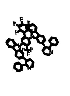 Fc1c(F)c(F)c(-c2cc(-n3c4ccccc4c4ccc(-c5cccnc5-c5ccccc5)cc43)c(C(F)(F)F)cc2-n2c3ccccc3c3ccc(-c4cccnc4-c4ccccc4)cc32)c(F)c1F